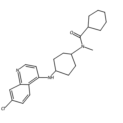 CN(C(=O)C1CCCCC1)C1CCC(Nc2ccnc3cc(Cl)ccc23)CC1